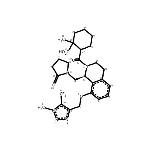 Cn1nnc(COc2cccc3c2[C@@H](CN2CCCC2=O)N(C(=O)C2CCCCC2(C)C(=O)O)CC3)c1C(F)(F)F